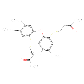 COC(=O)CCSc1cc(OC)c(OC)cc1Oc1cc(OC)c(OC)cc1SCCC(=O)OC